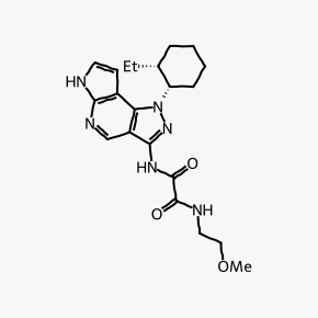 CC[C@@H]1CCCC[C@@H]1n1nc(NC(=O)C(=O)NCCOC)c2cnc3[nH]ccc3c21